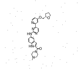 CN1CCN(C(=O)c2cc3cc(Nc4nccc(-c5cc(OC[C@H]6CCCO6)ccn5)n4)ccc3[nH]2)CC1